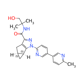 Cc1ccc(-c2ccc(-n3nc(C(=O)NC(C)(C)CO)c4c3[C@H]3C[C@H]3C4)nc2)cn1